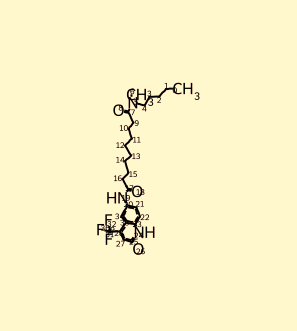 CCCCCN(C)C(=O)CCCCCCCCC(=O)Nc1ccc2[nH]c(=O)cc(C(F)(F)F)c2c1